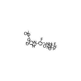 COc1cc2ncc(-c3ccc(CC(=O)Nc4cc(C5(C(F)(F)F)CC5)on4)c(F)c3)nc2cc1OCCOC(C)=O